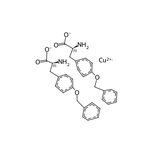 N[C@@H](Cc1ccc(OCc2ccccc2)cc1)C(=O)[O-].N[C@@H](Cc1ccc(OCc2ccccc2)cc1)C(=O)[O-].[Cu+2]